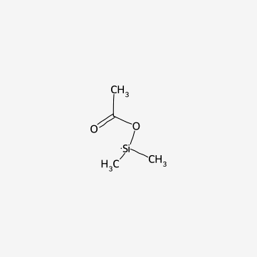 CC(=O)O[Si](C)C